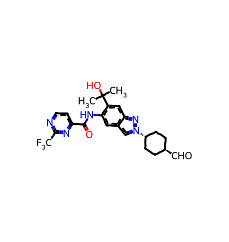 CC(C)(O)c1cc2nn([C@H]3CC[C@H](C=O)CC3)cc2cc1NC(=O)c1ccnc(C(F)(F)F)n1